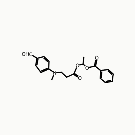 CC(OC(=O)CCN(C)c1ccc(C=O)cc1)OC(=O)c1ccccc1